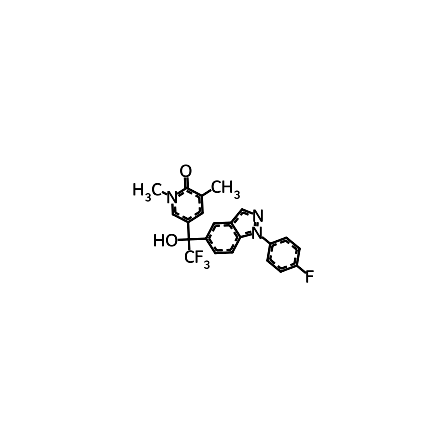 Cc1cc(C(O)(c2ccc3c(cnn3-c3ccc(F)cc3)c2)C(F)(F)F)cn(C)c1=O